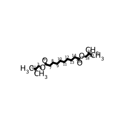 CC(C)COC(=O)CCCCCCCCC(=O)OCC(C)C